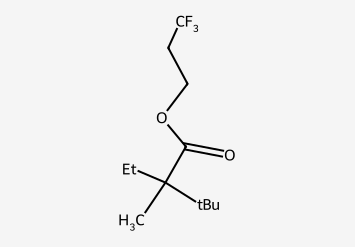 CCC(C)(C(=O)OCCC(F)(F)F)C(C)(C)C